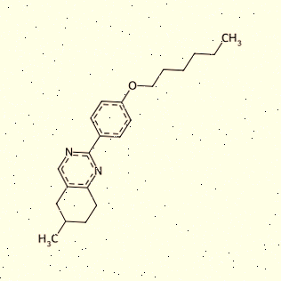 CCCCCCOc1ccc(-c2ncc3c(n2)CCC(C)C3)cc1